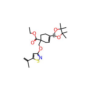 C=C(C)c1cc(OCC2(C(=O)OCC)CC=C(B3OC(C)(C)C(C)(C)O3)CC2)ns1